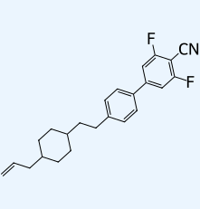 C=CCC1CCC(CCc2ccc(-c3cc(F)c(C#N)c(F)c3)cc2)CC1